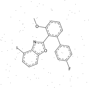 COc1[c]ccc(-c2ccc(F)cc2)c1-c1nc2c(I)cccc2o1